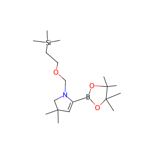 CC1(C)C=C(B2OC(C)(C)C(C)(C)O2)N(COCC[Si](C)(C)C)C1